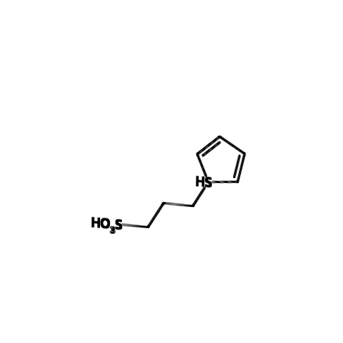 O=S(=O)(O)CCC[SH]1C=CC=C1